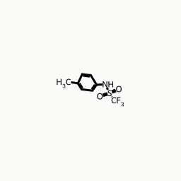 Cc1ccc(NS(=O)(=O)C(F)(F)F)cc1